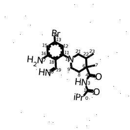 CC(C)C(=O)NC(=O)C1(C)CCN(c2cc(Br)cc(N)c2C=N)CC1C